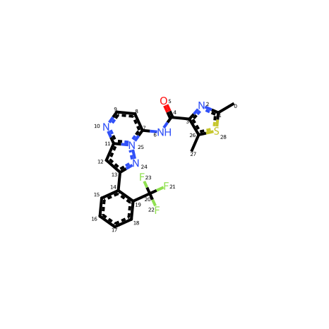 Cc1nc(C(=O)Nc2ccnc3cc(-c4ccccc4C(F)(F)F)nn23)c(C)s1